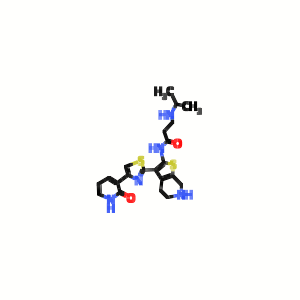 CC(C)NCCC(=O)Nc1sc2c(c1-c1nc(-c3ccc[nH]c3=O)cs1)CCNC2